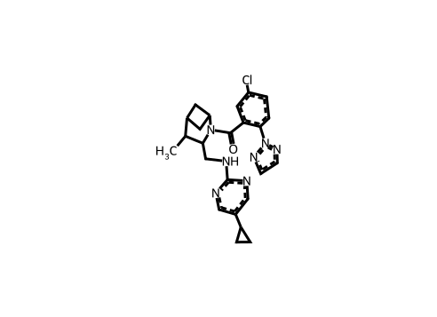 CC1C2CC(C2)N(C(=O)c2cc(Cl)ccc2-n2nccn2)C1CNc1ncc(C2CC2)cn1